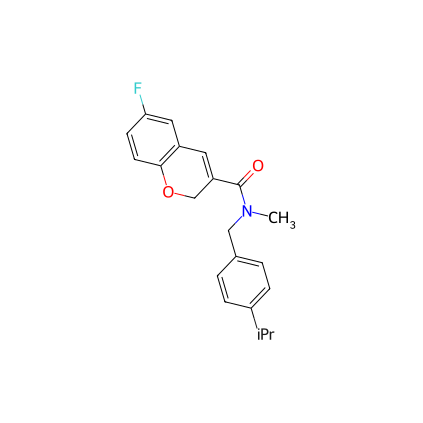 CC(C)c1ccc(CN(C)C(=O)C2=Cc3cc(F)ccc3OC2)cc1